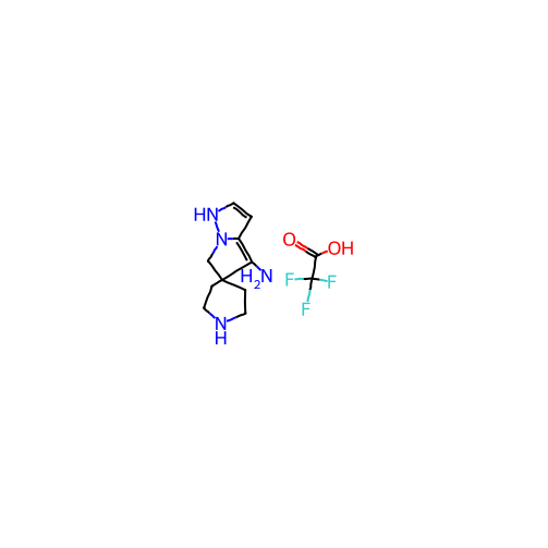 NC1=C2C=CNN2CC12CCNCC2.O=C(O)C(F)(F)F